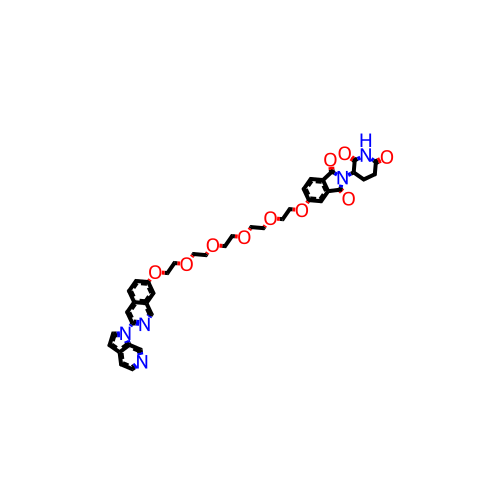 O=C1CCC(N2C(=O)c3ccc(OCCOCCOCCOCCOCCOc4ccc5cc(-n6ccc7ccncc76)ncc5c4)cc3C2=O)C(=O)N1